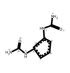 NC(=O)Nc1cccc(NC(N)=O)c1